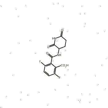 O=C1CCC(NC(=O)c2c(F)ccc(F)c2C(=O)O)C(=O)N1